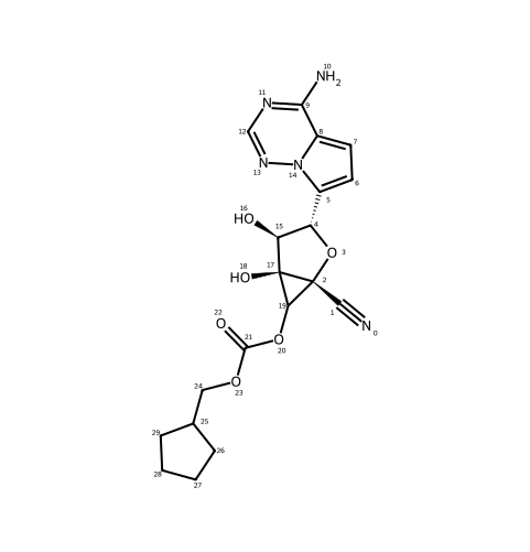 N#C[C@]12O[C@@H](c3ccc4c(N)ncnn34)[C@H](O)[C@@]1(O)C2OC(=O)OCC1CCCC1